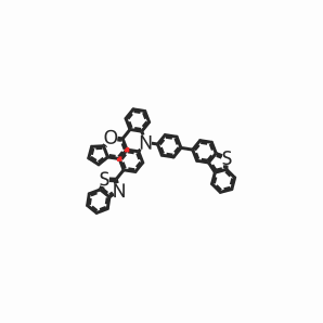 c1cc2ccc(-c3ccccc3N(c3ccc(-c4ccc5sc6ccccc6c5c4)cc3)c3ccc(-c4nc5ccccc5s4)cc3)oc-2c1